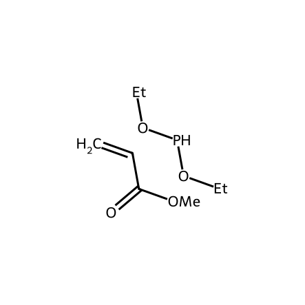 C=CC(=O)OC.CCOPOCC